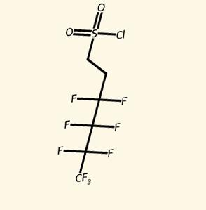 O=S(=O)(Cl)CCC(F)(F)C(F)(F)C(F)(F)C(F)(F)F